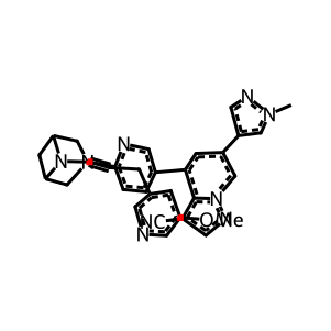 COc1cncc(CC#CN2C3CC2CN(c2ccc(-c4cc(-c5cnn(C)c5)cn5ncc(C#N)c45)cn2)C3)c1